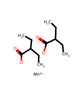 CCC(CC)C(=O)[O-].CCC(CC)C(=O)[O-].[Mn+2]